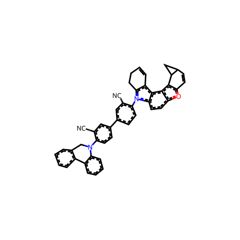 N#Cc1cc(-c2ccc(-n3c4c(c5c6c7c(oc6ccc53)C=CC3CC73)C=CCC4)c(C#N)c2)ccc1N1Cc2ccccc2-c2ccccc21